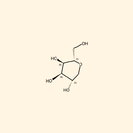 OC[C@@H]1O[CH][C@H](O)[C@@H](O)[C@H]1O